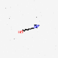 Cn1cc[n+](CCCCCCCCO)c1